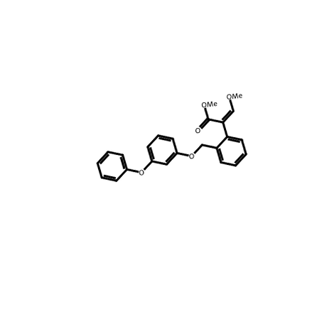 COC=C(C(=O)OC)c1ccccc1COc1cccc(Oc2ccccc2)c1